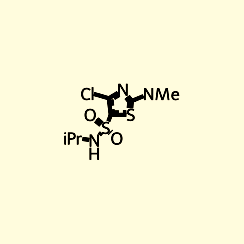 CNc1nc(Cl)c(S(=O)(=O)NC(C)C)s1